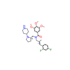 COc1cc(C(=O)N(C/C(C)=C/c2ccc(F)cc2F)C[C@H]2CCCN2C2CCNCC2)cc(OC)c1OC